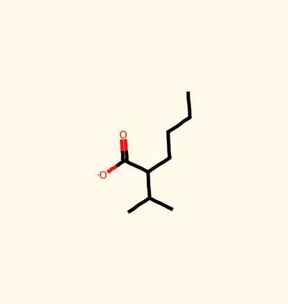 CCCCC(C([O])=O)C(C)C